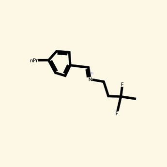 CCCc1ccc(/C=N/CCC(C)(F)F)cc1